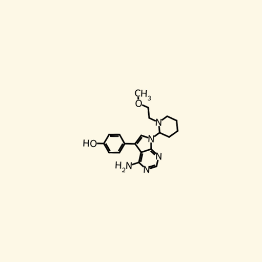 COCCN1CCCCC1n1cc(-c2ccc(O)cc2)c2c(N)ncnc21